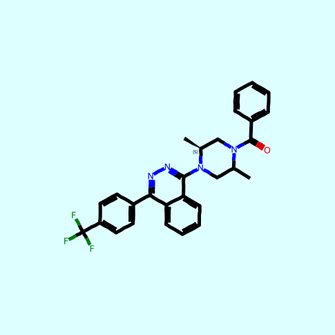 CC1CN(c2nnc(-c3ccc(C(F)(F)F)cc3)c3ccccc23)[C@@H](C)CN1C(=O)c1ccccc1